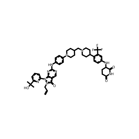 C=CCn1c(=O)c2cnc(Nc3ccc(N4CCC(CN5CCC(c6ccc(NC7CCC(=O)NC7=O)cc6C(F)(F)F)CC5)CC4)cc3)nc2n1-c1cccc(C(C)(C)O)n1